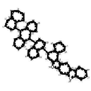 c1ccc2c(-c3c4ccccc4c(-c4ccc(-c5cc6oc7cc8oc9ccccc9c8cc7c6c6ccccc56)c5ccccc45)c4ccccc34)cccc2c1